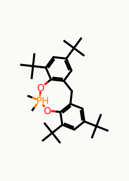 CC(C)(C)c1cc2c(c(C(C)(C)C)c1)O[PH](C)(C)Oc1c(cc(C(C)(C)C)cc1C(C)(C)C)C2